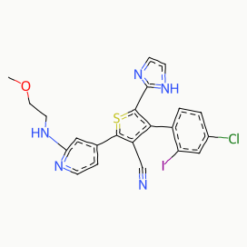 COCCNc1cc(-c2sc(-c3ncc[nH]3)c(-c3ccc(Cl)cc3I)c2C#N)ccn1